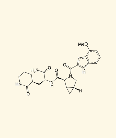 COc1cccc2[nH]c(C(=O)N3C[C@@H]4CC4[C@H]3C(=O)N[C@@H](C[C@@H]3CCCNC3=O)C(N)=O)cc12